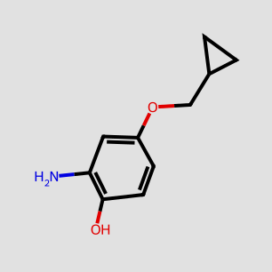 Nc1cc(OCC2CC2)ccc1O